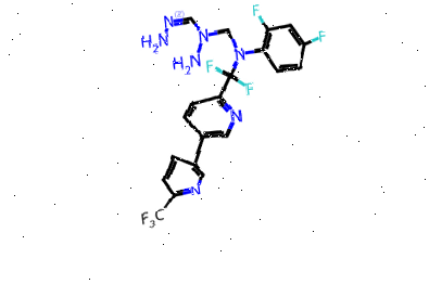 N/N=C\N(N)CN(c1ccc(F)cc1F)C(F)(F)c1ccc(-c2ccc(C(F)(F)F)nc2)cn1